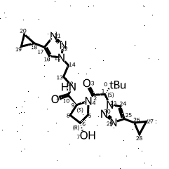 CC(C)(C)[C@@H](C(=O)N1C[C@H](O)C[C@H]1C(=O)NCCn1cc(C2CC2)nn1)n1cc(C2CC2)nn1